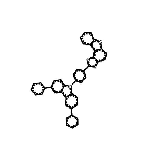 c1ccc(-c2ccc3c(c2)c2cc(-c4ccccc4)ccc2n3-c2ccc(-c3nc4ccc5oc6ccccc6c5c4s3)cc2)cc1